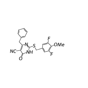 COc1c(F)cc(CSc2nc(Cc3ccccc3)c(C#N)c(=O)[nH]2)cc1F